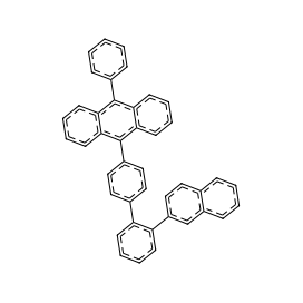 c1ccc(-c2c3ccccc3c(-c3ccc(-c4ccccc4-c4ccc5ccccc5c4)cc3)c3ccccc23)cc1